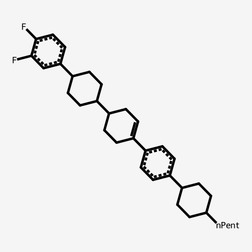 CCCCCC1CCC(c2ccc(C3=CCC(C4CCC(c5ccc(F)c(F)c5)CC4)CC3)cc2)CC1